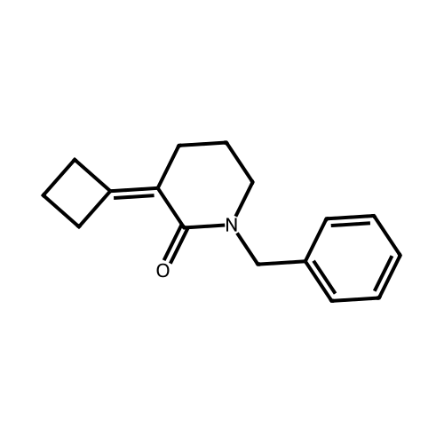 O=C1C(=C2CCC2)CCCN1Cc1ccccc1